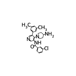 Cc1cc(C)cc(-c2cncc(NC(=O)c3cccc(Cl)c3)c2N2CCC(N)CC2)c1